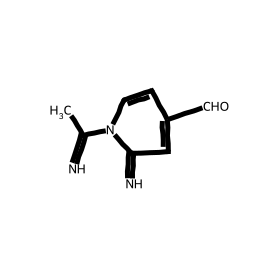 CC(=N)n1ccc(C=O)cc1=N